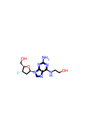 Nc1nc(NCCO)c2ncn([C@H]3C[C@H](F)[C@@H](CO)O3)c2n1